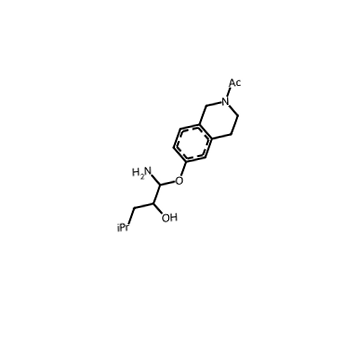 CC(=O)N1CCc2cc(OC(N)C(O)CC(C)C)ccc2C1